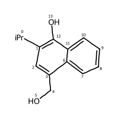 CC(C)c1cc(CO)c2ccccc2c1O